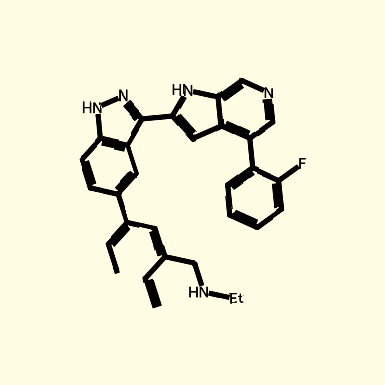 C=C/C(=C\C(=C/C)c1ccc2[nH]nc(-c3cc4c(-c5ccccc5F)cncc4[nH]3)c2c1)CNCC